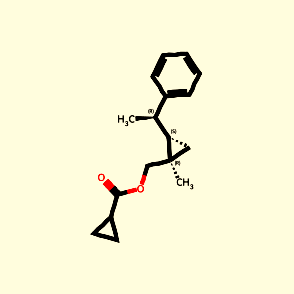 C[C@@H](c1ccccc1)[C@@H]1C[C@@]1(C)COC(=O)C1CC1